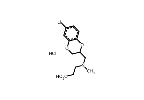 CN(CCC(=O)O)CC1COc2cc(Cl)ccc2O1.Cl